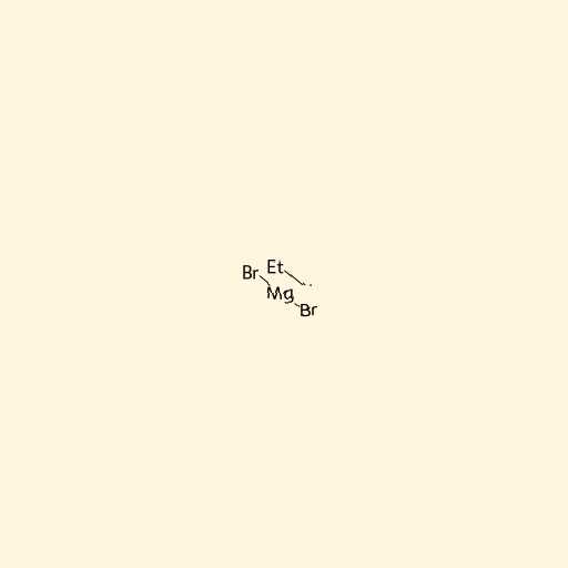 [Br][Mg][Br].[CH2]CC